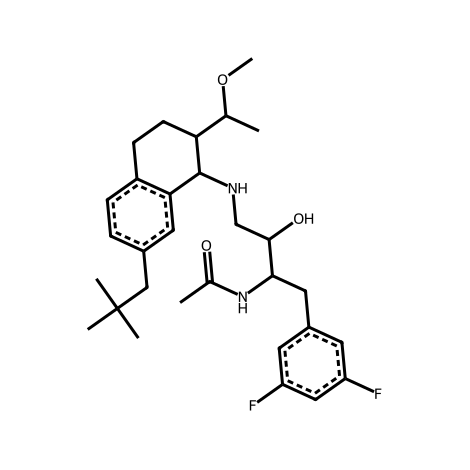 COC(C)C1CCc2ccc(CC(C)(C)C)cc2C1NCC(O)C(Cc1cc(F)cc(F)c1)NC(C)=O